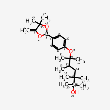 C=C1OB(c2ccc(OC(C)(C)C(C)CC(C)(C)[Si](C)(C)O)cc2)OC1(C)C